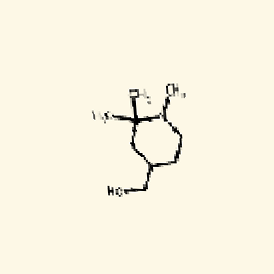 CN1CCC(CO)CC1(C)C